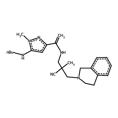 C=C(NCC(C)(C#N)CN1CCc2ccccc2C1)c1cc(NCCCC)n(C)n1